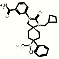 CN(C)[C@]1(c2ccccc2)CC[C@@]2(CC1)CN(c1cccc(C(N)=O)c1)C(=O)N2CC1CCC1